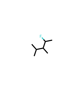 CC(C)C(C)C(C)F